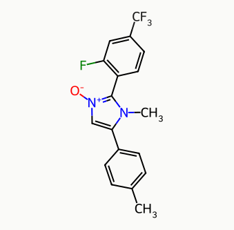 Cc1ccc(-c2c[n+]([O-])c(-c3ccc(C(F)(F)F)cc3F)n2C)cc1